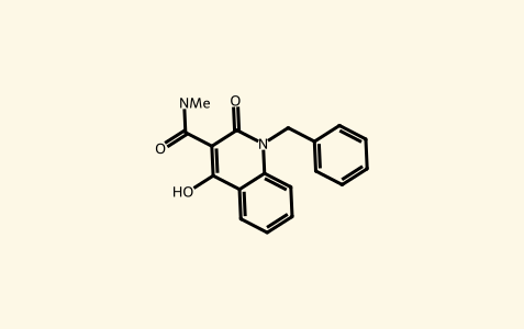 CNC(=O)c1c(O)c2ccccc2n(Cc2ccccc2)c1=O